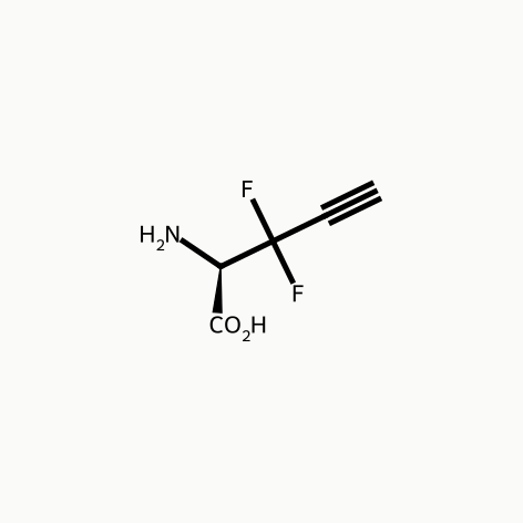 C#CC(F)(F)[C@H](N)C(=O)O